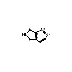 [c]1cc2c(nn1)CNC2